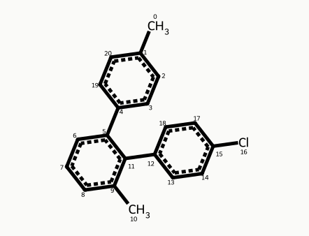 Cc1ccc(-c2cccc(C)c2-c2ccc(Cl)cc2)cc1